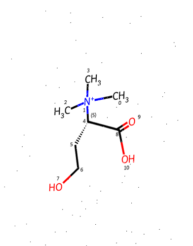 C[N+](C)(C)[C@@H](CCO)C(=O)O